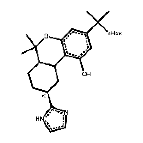 CCCCCCC(C)(C)c1cc(O)c2c(c1)OC(C)(C)C1CC[C@H](c3ncc[nH]3)CC21